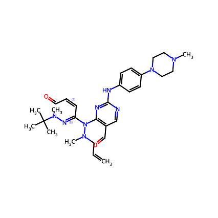 C=CCN(C)N(C(/C=C\C=O)=N/N(C)C(C)(C)C)c1nc(Nc2ccc(N3CCN(C)CC3)cc2)ncc1C=O